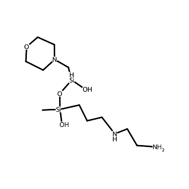 C[Si](O)(CCCNCCN)O[SiH](O)CN1CCOCC1